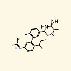 CCC(C)c1ccc(/C=C(/C)F)cc1-c1cc(C2CSC(C)C(=N)N2)ccc1C